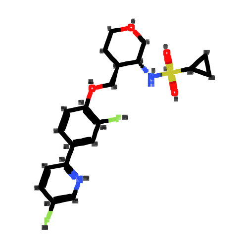 O=S(=O)(N[C@H]1COCC[C@@H]1COc1ccc(-c2ccc(F)cn2)cc1F)C1CC1